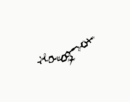 CC(C)N(C)C(=O)CN1CCC(NCc2ccc3c(c2)cc(C#CCNc2ccc(C(C)(C)C#N)nc2)n3CC(F)(F)F)CC1